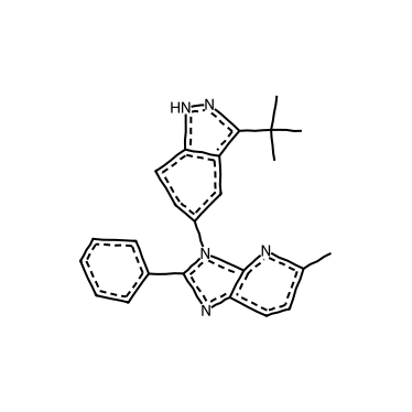 Cc1ccc2nc(-c3ccccc3)n(-c3ccc4[nH]nc(C(C)(C)C)c4c3)c2n1